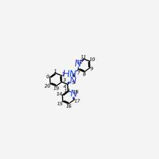 c1ccc(/C(=N\Nc2ccccn2)c2ccccn2)cc1